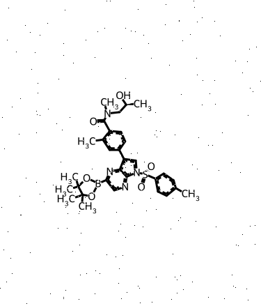 Cc1ccc(S(=O)(=O)n2cc(-c3ccc(C(=O)N(C)C[C@H](C)O)c(C)c3)c3nc(B4OC(C)(C)C(C)(C)O4)cnc32)cc1